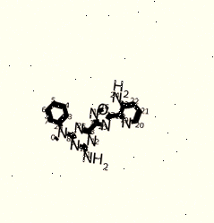 CN(c1ccccc1)c1nc(N)nc(-c2noc(-c3ncccc3N)n2)n1